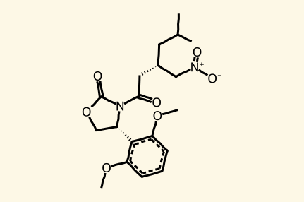 COc1cccc(OC)c1[C@@H]1COC(=O)N1C(=O)C[C@H](CC(C)C)C[N+](=O)[O-]